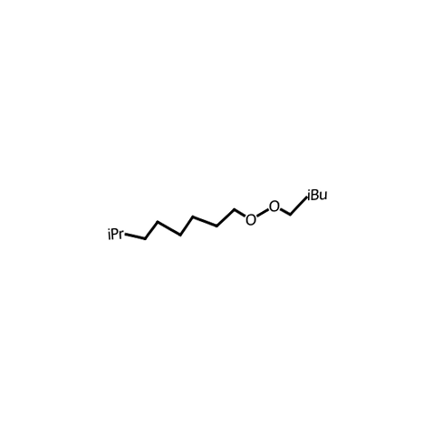 CCC(C)COOCCCCCCC(C)C